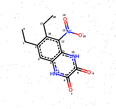 CCc1cc2[nH]c(=O)c(=O)[nH]c2c([N+](=O)[O-])c1CC